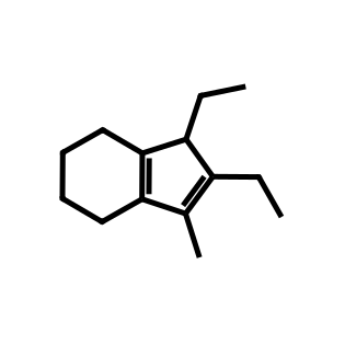 CCC1=C(C)C2=C(CCCC2)C1CC